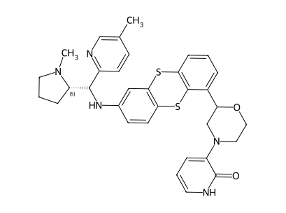 Cc1ccc(C(Nc2ccc3c(c2)Sc2cccc(C4CN(c5ccc[nH]c5=O)CCO4)c2S3)[C@@H]2CCCN2C)nc1